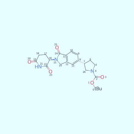 CC(C)(C)OC(=O)N1CC[C@@H](c2ccc3c(c2)CN([C@@H]2CCC(=O)NC2=O)C3=O)C1